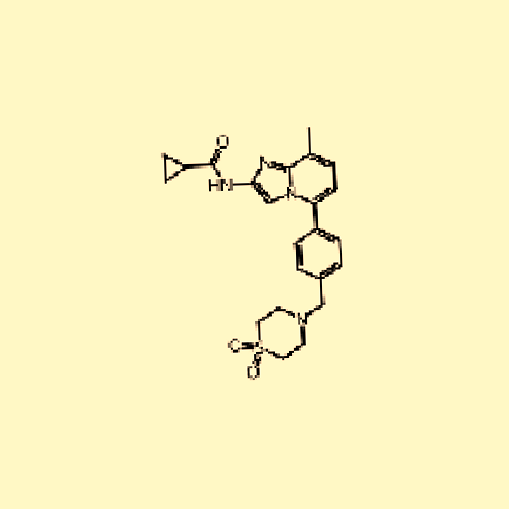 Cc1ccc(-c2ccc(CN3CCS(=O)(=O)CC3)cc2)n2cc(NC(=O)C3CC3)nc12